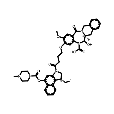 COc1cc2c(cc1OCCCC(=O)N1C[C@@H](CCl)c3c1cc(OC(=O)N1CCN(C)CC1)c1ccccc31)N(C(=O)O)C(O)[C@@H]1Cc3ccccc3CN1C2=O